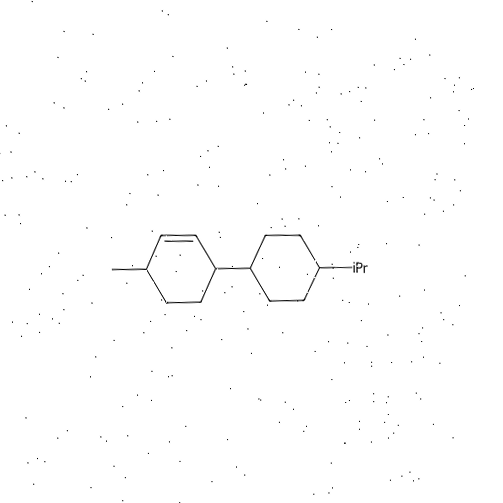 CC1C=CC(C2CCC(C(C)C)CC2)CC1